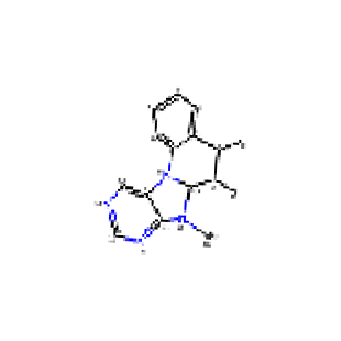 CC1c2ccccc2N2c3cncnc3N(C(C)C)C2C1C